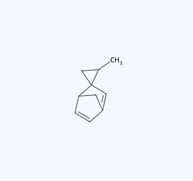 CC1CC12C=C1C=CC2C1